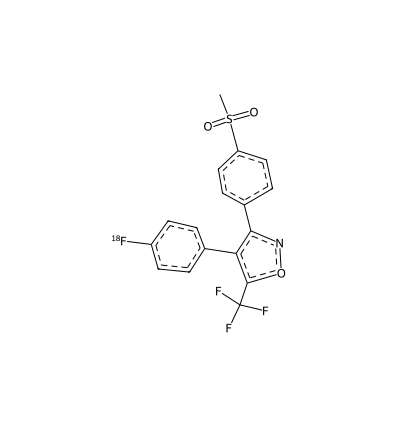 CS(=O)(=O)c1ccc(-c2noc(C(F)(F)F)c2-c2ccc([18F])cc2)cc1